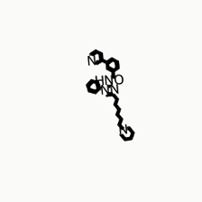 O=C(Nc1nc(CCCCCCN2CCCCC2)cn1-c1ccccc1)c1cccc(-c2cccnc2)c1